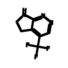 FC(F)(F)c1cnnc2c1CCN2